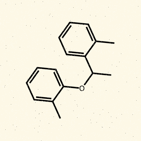 Cc1ccccc1OC(C)c1ccccc1C